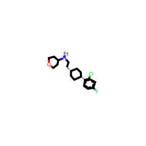 CCN(CC[C@H]1CC[C@@H](c2ccc(F)cc2Cl)CC1)C1CCOCC1